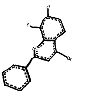 Fc1c(Cl)ccc2c(Br)cc(-c3ccccc3)nc12